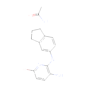 CC(=O)N[C@H]1CCc2cc(Nc3nc(Br)ccc3N)ccc21